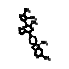 Cc1cc2c(cn1)CC1(CCN(c3nc(C)c(-c4cnn(C)c4C)n4nccc34)CC1)[C@@H]2N